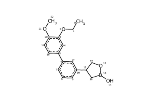 CCOc1cc(-c2cccc(C3COB(O)C3)c2)ccc1OC